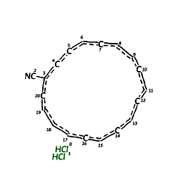 Cl.Cl.N#Cc1ccccccccccccccccc1